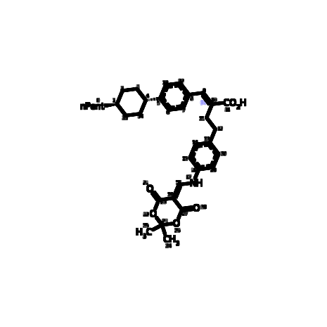 CCCCC[C@H]1CC[C@H](c2ccc(/C=C(\CCc3ccc(NC=C4C(=O)OC(C)(C)OC4=O)cc3)C(=O)O)cc2)CC1